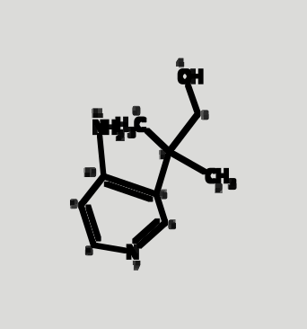 CC(C)(CO)c1cnccc1N